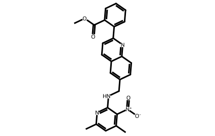 COC(=O)c1ccccc1-c1ccc2cc(CNc3nc(C)cc(C)c3[N+](=O)[O-])ccc2n1